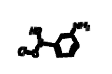 Nc1cccc(B(O)OCl)c1